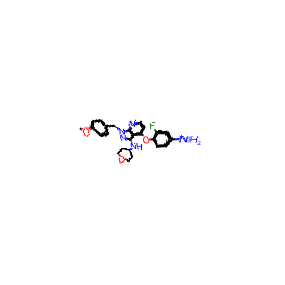 COc1ccc(Cn2nc(NC3CCOCC3)c3c(Oc4ccc(N)cc4F)ccnc32)cc1